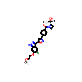 COCCOc1cc2[nH]nc(-c3cc(-c4ccc(C(=O)N5CC[C@H]5C(C)(C)O)cc4)no3)c2cc1F